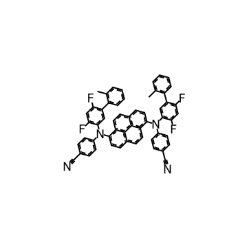 Cc1ccccc1-c1cc(N(c2ccc(C#N)cc2)c2ccc3ccc4c(N(c5ccc(C#N)cc5)c5cc(-c6ccccc6C)c(F)cc5F)ccc5ccc2c3c54)c(F)cc1F